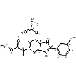 COC(=O)Nc1cc(NC(C)=O)c2[nH]c(-c3cccc(F)c3)nc2c1